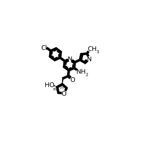 CC1C=C(c2nc(-c3ccc(Cl)cc3)cc(C(=O)C[C@H]3COC[C@@H]3O)c2N)C=N1